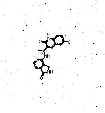 C[C@H](Nc1nccc2c1CNC2=O)c1cc2cc(Cl)ccc2[nH]c1=O